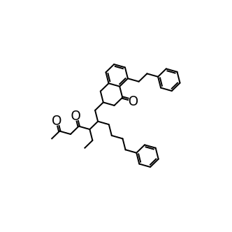 CCC(C(=O)CC(C)=O)C(CCCCc1ccccc1)CC1CC(=O)c2c(CCc3ccccc3)cccc2C1